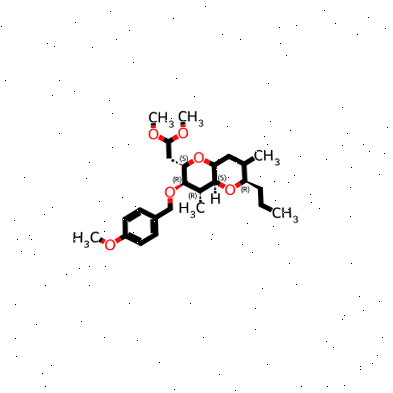 CCC[C@H]1O[C@@H]2C(CC1C)O[C@@H](CC(OC)OC)[C@H](OCc1ccc(OC)cc1)[C@H]2C